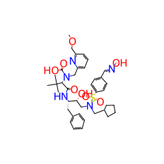 COCc1cccc(CN(C(=O)O)[C@H](C(=O)N[C@@H](Cc2ccccc2)[C@H](O)CN(CC2CCCC2)S(=O)(=O)c2ccc(C=NO)cc2)C(C)(C)C)n1